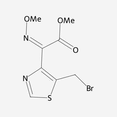 CON=C(C(=O)OC)c1ncsc1CBr